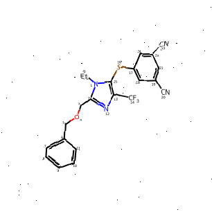 CCn1c(COCc2ccccc2)nc(C(F)(F)F)c1Sc1cc(C#N)cc(C#N)c1